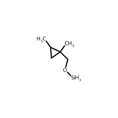 CC1CC1(C)CO[SiH3]